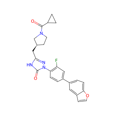 O=C(C1CC1)N1CC[C@@H](Cc2nn(-c3ccc(-c4ccc5occc5c4)cc3F)c(=O)[nH]2)C1